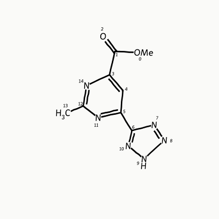 COC(=O)c1cc(-c2nn[nH]n2)nc(C)n1